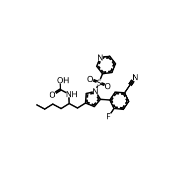 CCCCC(Cc1cc(-c2cc(C#N)ccc2F)n(S(=O)(=O)c2cccnc2)c1)NC(=O)O